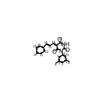 Cc1cc(C)cc(N2C(=O)NC(=O)C(=CC=Cc3ccccc3)C2=O)c1